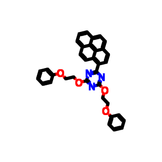 c1ccc(OCCOc2nc(OCCOc3ccccc3)nc(-c3ccc4ccc5cccc6ccc3c4c56)n2)cc1